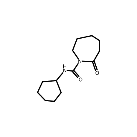 O=C1CCCCCN1C(=O)NC1CCCCC1